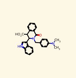 CN(C)c1ccc(CN2C(=O)c3ccccc3C(C(=O)O)C2c2c[nH]c3ccccc23)cc1